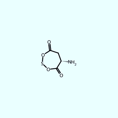 N[C@H]1CC(=O)OSOC1=O